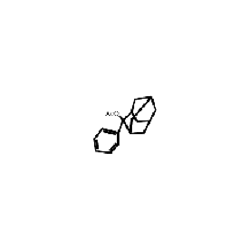 CC(=O)OC1(c2ccccc2)C2CC3CC(C2)CC1C3